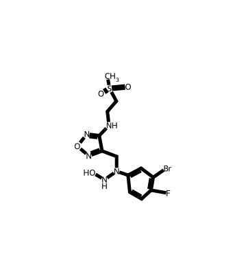 CS(=O)(=O)CCNc1nonc1CN(NO)c1ccc(F)c(Br)c1